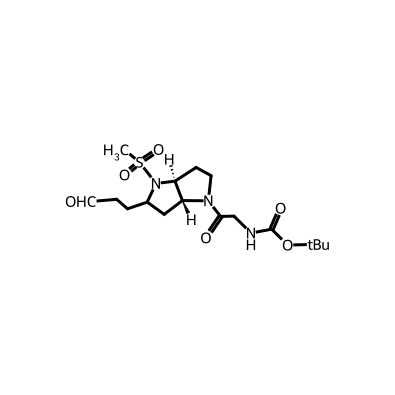 CC(C)(C)OC(=O)NCC(=O)N1CC[C@H]2[C@H]1CC(CCC=O)N2S(C)(=O)=O